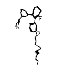 CCCCCCCCCOc1cccc(-c2c(F)cccc2-c2cccc(C#N)c2)c1